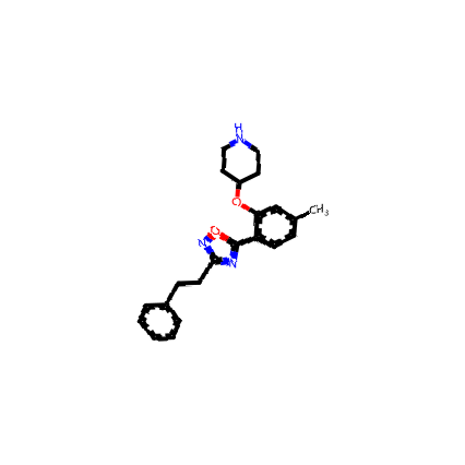 Cc1ccc(-c2nc(CCc3ccccc3)no2)c(OC2CCNCC2)c1